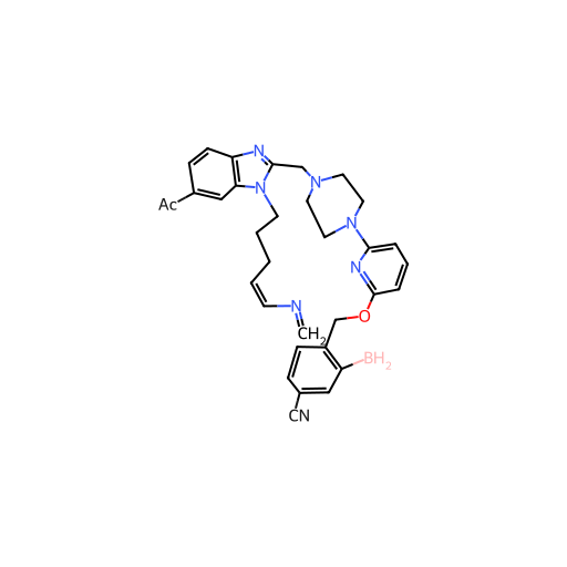 Bc1cc(C#N)ccc1COc1cccc(N2CCN(Cc3nc4ccc(C(C)=O)cc4n3CCC/C=C\N=C)CC2)n1